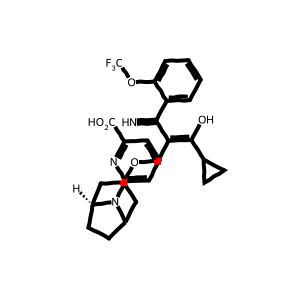 N=C(/C(COC1CC2CC[C@@H](C1)N2c1cccc(C(=O)O)n1)=C(\O)C1CC1)c1ccccc1OC(F)(F)F